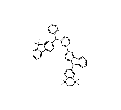 CC1(C)CCC(C)(C)c2cc(-n3c4ccccc4c4cc(-c5cccc(N(c6ccccc6)c6ccc7c(c6)C(C)(C)c6ccccc6-7)c5)ccc43)ccc21